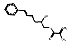 C=C(C)C(=O)OCC(O)CC/C=C/c1ccccc1